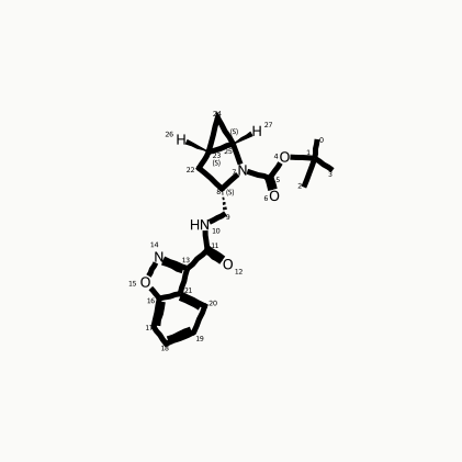 CC(C)(C)OC(=O)N1[C@H](CNC(=O)c2noc3ccccc23)C[C@@H]2C[C@@H]21